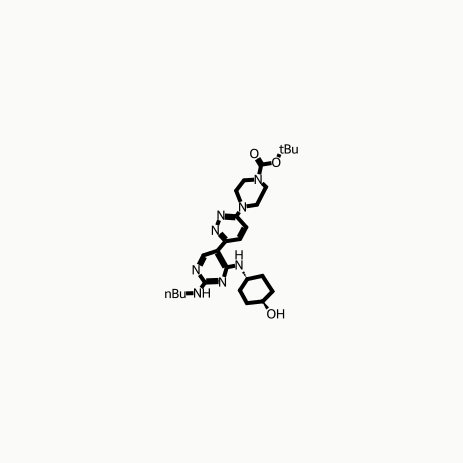 CCCCNc1ncc(-c2ccc(N3CCN(C(=O)OC(C)(C)C)CC3)nn2)c(N[C@H]2CC[C@H](O)CC2)n1